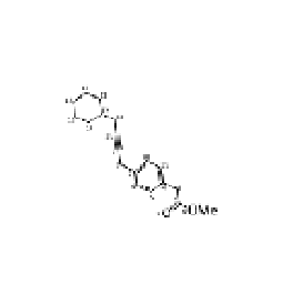 COC(=O)Cc1ccc(CC#CCC2CCCCC2)cc1